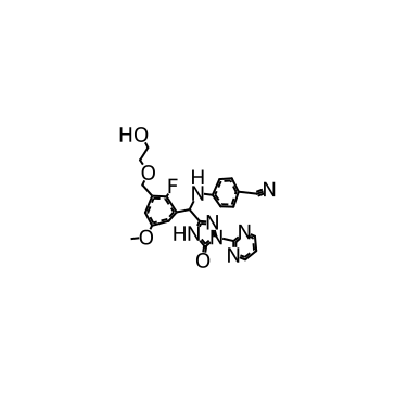 COc1cc(COCCO)c(F)c(C(Nc2ccc(C#N)cc2)c2nn(-c3ncccn3)c(=O)[nH]2)c1